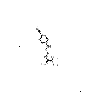 C#Cc1ccc(NCCNC(=C)C(C)C)cc1